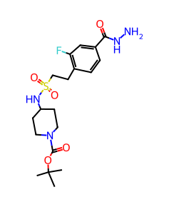 CC(C)(C)OC(=O)N1CCC(NS(=O)(=O)CCc2ccc(C(=O)NN)cc2F)CC1